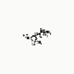 CO[C@@H]1C[C@@H](NC(=O)OC(C)(C)C)CC(C)(C)C1